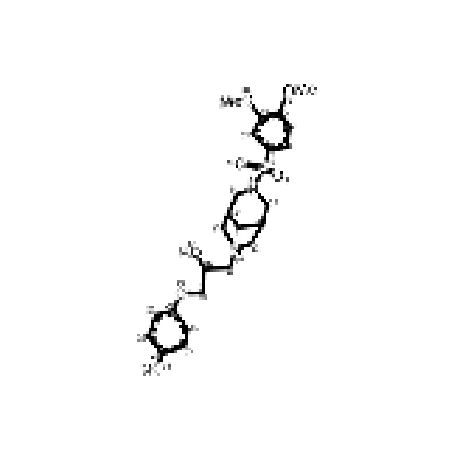 COc1ccc(S(=O)(=O)N2CC3CC(CN(CC(O)COc4ccc(C#N)cc4)C3)C2)cc1OC